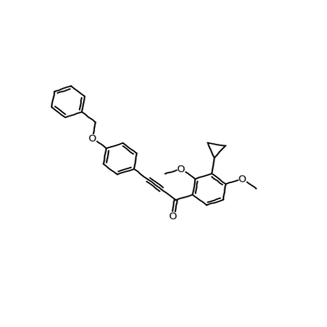 COc1ccc(C(=O)C#Cc2ccc(OCc3ccccc3)cc2)c(OC)c1C1CC1